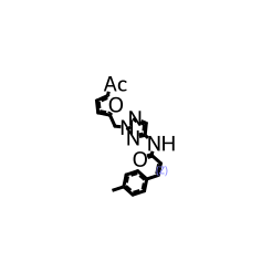 CC(=O)c1ccc(Cn2ncc(NC(=O)/C=C\c3ccc(C)cc3)n2)o1